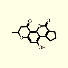 CC1CC(=O)c2c(cc(O)c3c4c(c(=O)oc23)CCC4)O1